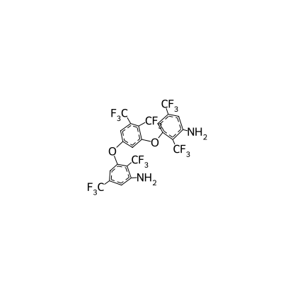 Nc1cc(C(F)(F)F)cc(Oc2cc(Oc3cc(C(F)(F)F)cc(N)c3C(F)(F)F)c(C(F)(F)F)c(C(F)(F)F)c2)c1C(F)(F)F